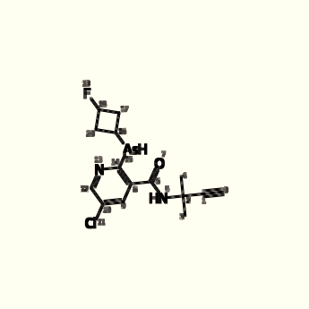 C#CC(C)(C)NC(=O)c1cc(Cl)cnc1[AsH]C1CC(F)C1